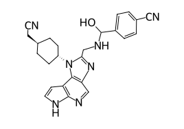 N#CC[C@H]1CC[C@H](n2c(CNC(O)c3ccc(C#N)cc3)nc3cnc4[nH]ccc4c32)CC1